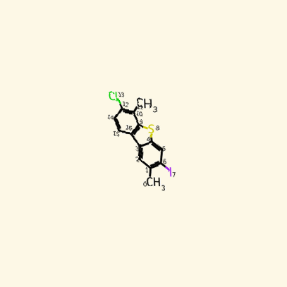 Cc1cc2c(cc1I)sc1c(C)c(Cl)ccc12